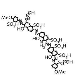 COc1ccc(N=Nc2c(S(=O)(=O)O)cc3c(S(=O)(=O)O)c(N=Nc4c(S(=O)(=O)O)cc5ccc(N=Nc6ccc7c(O)c(N=Nc8ccc(OC)cc8S(=O)(=O)O)c(SOOO)cc7c6S(=O)(=O)O)c(O)c5c4N)ccc3c2O)c(SOOO)c1